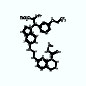 CCCC(C(=O)OCC)C(c1cncc(OCC(F)(F)F)c1)n1ccc2cc(OCCc3ccc4c(n3)N(C(=O)OC(C)(C)C)CCC4)ccc21